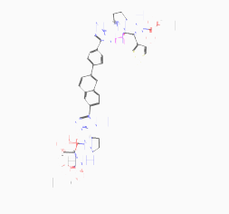 COC(=O)N[C@H](C(=O)N1CCC[C@H]1c1ncc(-c2ccc3cc(-c4ccc(-c5cnc([C@@H]6CCCN6C(=O)[C@H](NC(=O)OC)c6ccsc6)[nH]5)cc4)ccc3c2)[nH]1)[C@@H](C)O